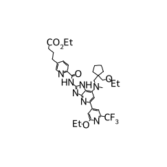 CCOCC1(CN(C)c2cc(-c3cc(OCC)nc(C(F)(F)F)c3)nc3nc(NC(=O)c4ccc(CCCC(=O)OCC)cn4)[nH]c23)CCCC1